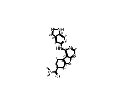 CN(C)C(=O)C1CCc2c(sc3ncnc(Nc4cc5cn[nH]c5cn4)c23)C1